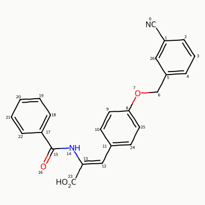 N#Cc1cccc(COc2ccc(C=C(NC(=O)c3ccccc3)C(=O)O)cc2)c1